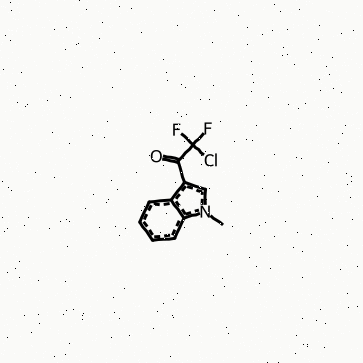 Cn1cc(C(=O)C(F)(F)Cl)c2ccccc21